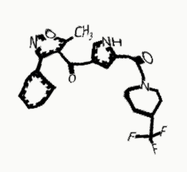 Cc1onc(-c2ccccc2)c1C(=O)c1c[nH]c(C(=O)N2CCC(C(F)(F)F)CC2)c1